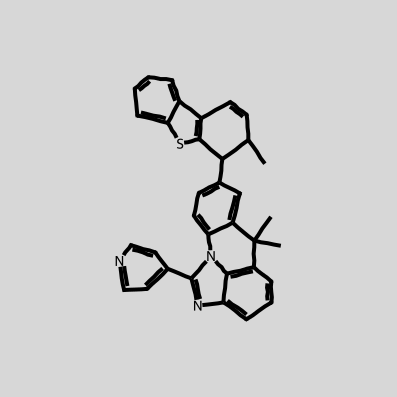 CC1C=Cc2c(sc3ccccc23)C1c1ccc2c(c1)C(C)(C)c1cccc3nc(-c4ccncc4)n-2c13